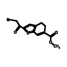 COC(=O)C1=Cc2sc(C(=O)CBr)cc2CC1